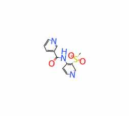 CS(=O)(=O)c1cnccc1NC(=O)c1cccnc1